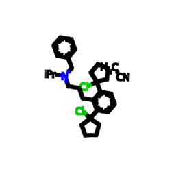 CC#N.CC(C)N(CCCc1c(C2(Cl)CCCC2)cccc1C1(Cl)CCCC1)Cc1ccccc1